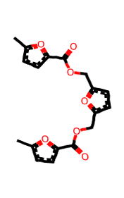 Cc1ccc(C(=O)OCc2ccc(COC(=O)c3ccc(C)o3)o2)o1